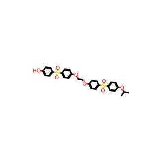 CC(C)Oc1ccc(S(=O)(=O)c2ccc(OCCOc3ccc(S(=O)(=O)c4ccc(O)cc4)cc3)cc2)cc1